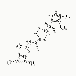 Cc1cc(C)n(C[C@H](C)NC(=O)C2CCN(S(=O)(=O)c3cnn(C)c3C)CC2)n1